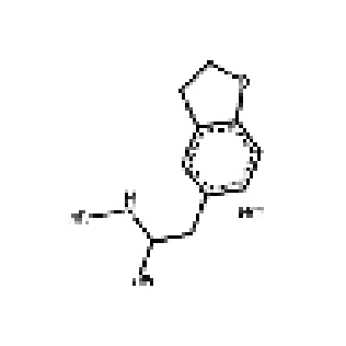 CCCNC(CCC)Cc1ccc2c(c1)CCO2.Cl